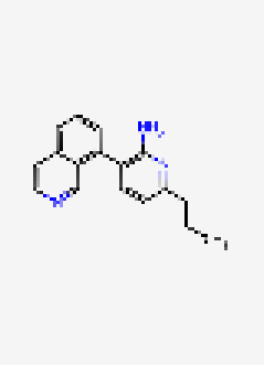 CCCc1ccc(-c2cccc3ccncc23)c(N)n1